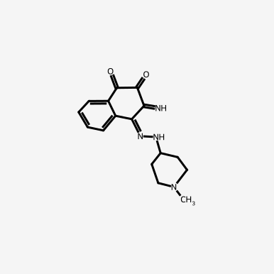 CN1CCC(N/N=c2\c(=N)c(=O)c(=O)c3ccccc23)CC1